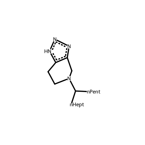 CCCCCCCC(CCCCC)N1CCc2[nH]nnc2C1